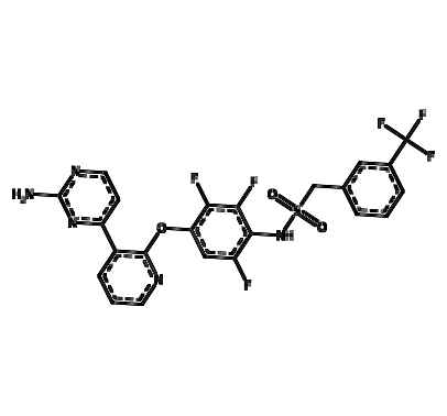 Nc1nccc(-c2cccnc2Oc2cc(F)c(NS(=O)(=O)Cc3cccc(C(F)(F)F)c3)c(F)c2F)n1